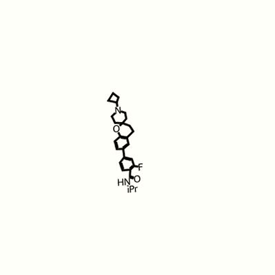 CC(C)NC(=O)c1ccc(-c2ccc3c(c2)CCC2(CCN(C4CCC4)CC2)O3)cc1F